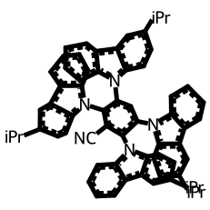 CC(C)c1ccc2c(c1)c1ccccc1n2-c1cc(-n2c3ccccc3c3cc(C(C)C)ccc32)c(-n2c3ccccc3c3cc(C(C)C)ccc32)c(C#N)c1-n1c2ccccc2c2cc(C(C)C)ccc21